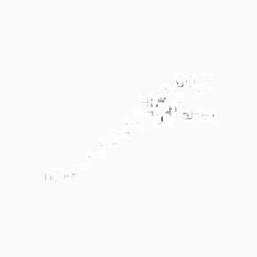 CCCCCCCCCCCCCCCCCCCCCC(=O)N[C@@H](CCC(=O)O)C(=O)OCCCCCC